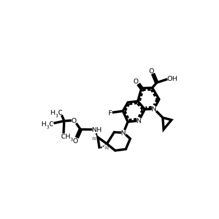 CC(C)(C)OC(=O)N[C@H]1C[C@]12CCCN(c1nc3c(cc1F)c(=O)c(C(=O)O)cn3C1CC1)C2